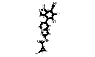 N#Cc1c(F)c(Cl)c(-c2ccn3nc(NC(=O)C4CC4F)cc3c2)c2cn[nH]c12